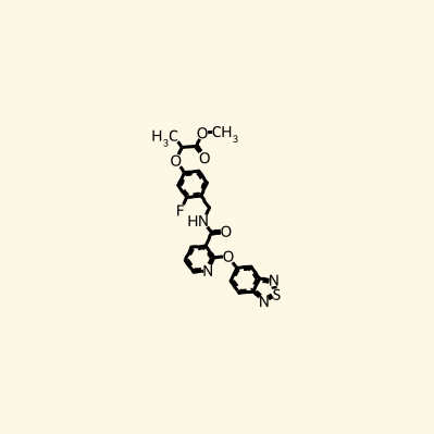 COC(=O)C(C)Oc1ccc(CNC(=O)c2cccnc2Oc2ccc3nsnc3c2)c(F)c1